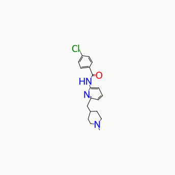 CN1CCC(Cc2cccc(NC(=O)c3ccc(Cl)cc3)n2)CC1